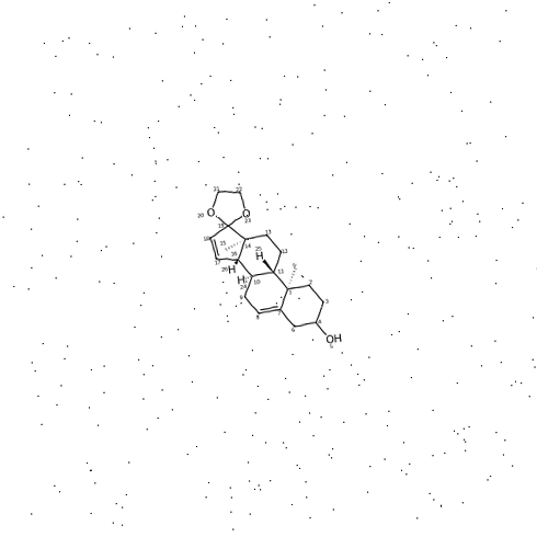 C[C@]12CCC(O)CC1=CC[C@@H]1[C@@H]2CC[C@@]2(C)[C@H]1C=CC21OCCO1